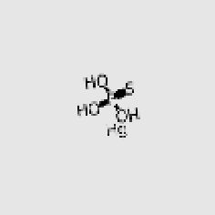 OP(O)(O)=S.[Hg]